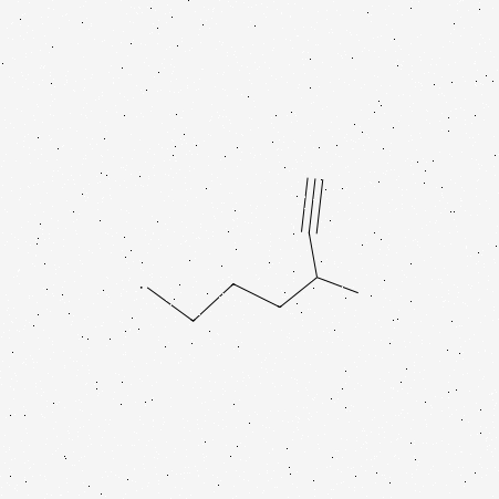 C#CC(C)CCC[CH2]